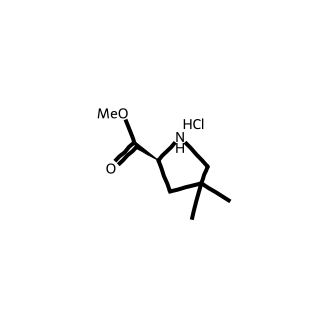 COC(=O)[C@@H]1CC(C)(C)CN1.Cl